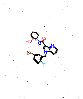 O=C(N[C@H]1CCCC[C@@H]1O)c1cn(Cc2cc(Br)ccc2F)c2cccnc12